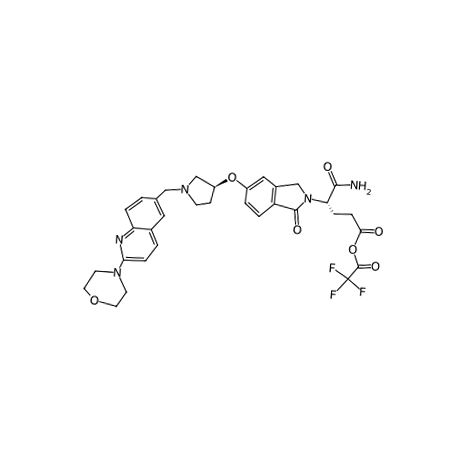 NC(=O)[C@H](CCC(=O)OC(=O)C(F)(F)F)N1Cc2cc(O[C@H]3CCN(Cc4ccc5nc(N6CCOCC6)ccc5c4)C3)ccc2C1=O